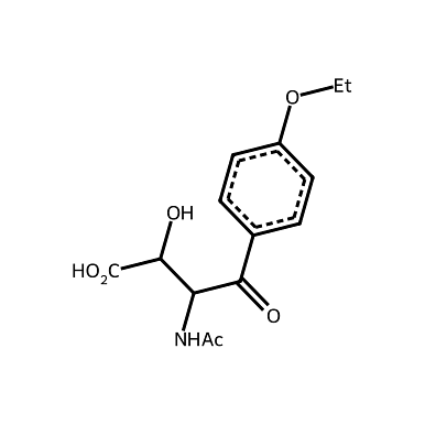 CCOc1ccc(C(=O)C(NC(C)=O)C(O)C(=O)O)cc1